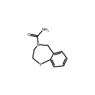 NC(=O)N1CCSc2ccccc2C1